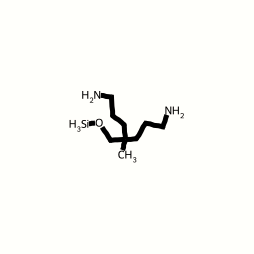 CC(CCCN)(CCCN)CO[SiH3]